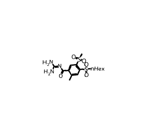 CCCCCCS(=O)(=O)c1cc(C)c(C(=O)N=C(N)N)cc1S(C)(=O)=O